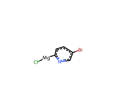 [Cl][Mg][c]1ccc(Br)cn1